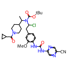 COc1cc(CC(Cl)N(C(=O)OC(C)(C)C)C(C)C2CCN(C(=O)C3CC3)CC2)ccc1NC(=O)Nc1cnc(C#N)cn1